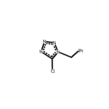 CC(C)Cn1nnnc1Cl